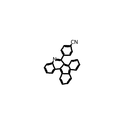 N#Cc1ccc(-c2nc3ccccc3c3c4ccccc4c4ccccc4c23)cc1